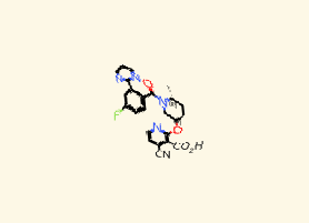 C[C@@H]1CC[C@@H](Oc2nccc(C#N)c2C(=O)O)CN1C(=O)c1ccc(F)cc1-c1ncccn1